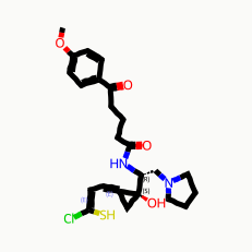 COc1ccc(C(=O)CCCC(=O)N[C@H](CN2CCCC2)[C@]2(O)C/C2=C\C=C(/S)Cl)cc1